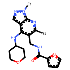 CCc1nc2c(cnn2CC)c(NC2CCOCC2)c1CNC(=O)c1ccco1